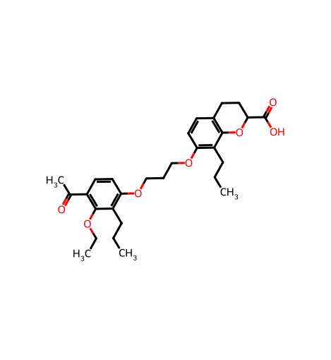 CCCc1c(OCCCOc2ccc(C(C)=O)c(OCC)c2CCC)ccc2c1OC(C(=O)O)CC2